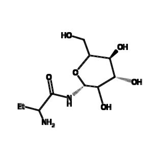 CCC(N)C(=O)N[C@@H]1OC(CO)[C@@H](O)[C@H](O)C1O